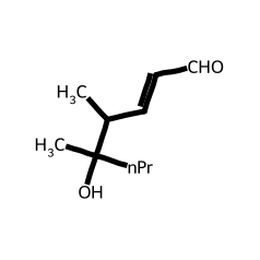 CCCC(C)(O)C(C)C=CC=O